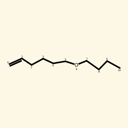 C=CCCCCOCCCC